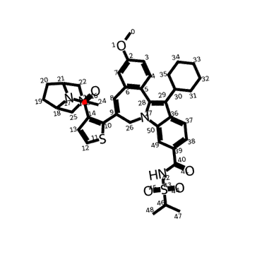 COc1ccc2c(c1)C=C(c1sccc1C(=O)N1C3CCC1CN(C)C3)Cn1c-2c(C2CCCCC2)c2ccc(C(=O)NS(=O)(=O)C(C)C)cc21